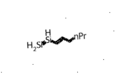 CCCCC=C[SiH]=[SiH2]